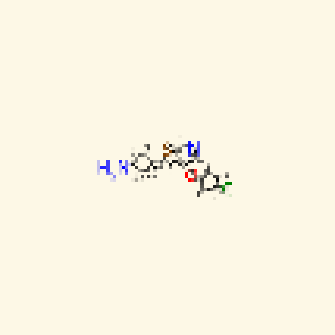 Nc1ccc(-c2cc3c(Oc4ccc(Cl)cc4)cncc3s2)cc1